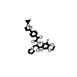 O=C(NC(CN1CCCC1)C(O)c1cc(F)c2c(c1)OCCO2)C(=O)c1ccc(-c2ccn(C3CC3)n2)cc1